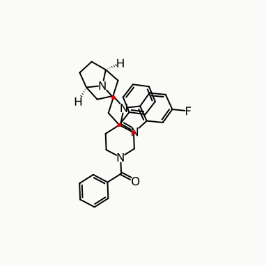 O=C(c1ccccc1)N1CCC(CCN2[C@@H]3CC[C@H]2CC(n2cnc4cc(F)ccc42)C3)(c2ccccc2)CC1